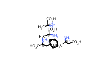 C[C@H](N)C(=O)O.C[C@H](N)C(=O)O.N[C@@H](CC(=O)O)C(=O)O.N[C@@H](Cc1ccccc1)C(=O)O